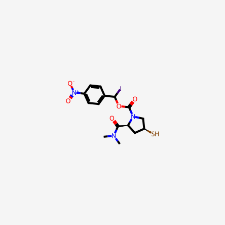 CN(C)C(=O)[C@@H]1C[C@H](S)CN1C(=O)OC(I)c1ccc([N+](=O)[O-])cc1